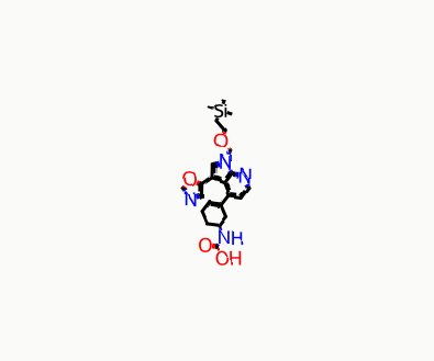 C[Si](C)(C)CCOCn1cc(-c2cnco2)c2c(C3=CCCC(NC(=O)O)C3)ccnc21